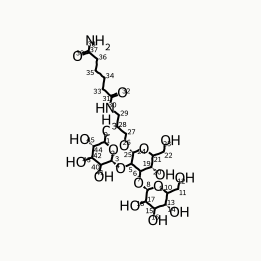 CC1O[C@@H](OC2C(O[C@H]3OC(CO)[C@H](O)C(O)C3O)[C@@H](O)C(CO)O[C@H]2OCCCNC(=O)CCCCC(N)=O)C(O)C(O)[C@@H]1O